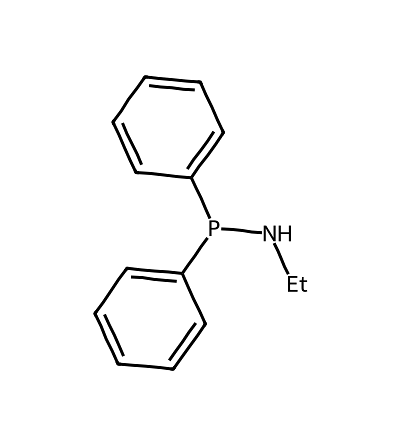 CCNP(c1ccccc1)c1ccccc1